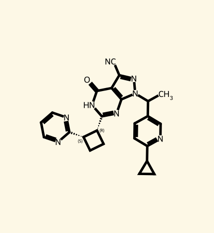 CC(c1ccc(C2CC2)nc1)n1nc(C#N)c2c(=O)[nH]c([C@@H]3CC[C@@H]3c3ncccn3)nc21